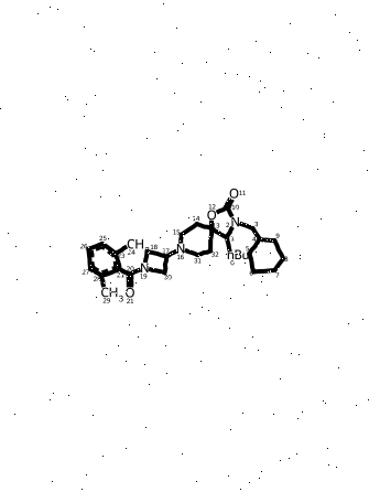 CCCCC1N(CC2CCCCC2)C(=O)OC12CCN(C1CN(C(=O)c3c(C)cccc3C)C1)CC2